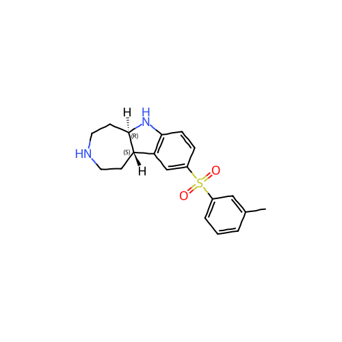 Cc1cccc(S(=O)(=O)c2ccc3c(c2)[C@@H]2CCNCC[C@H]2N3)c1